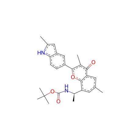 Cc1cc([C@@H](C)NC(=O)OC(C)(C)C)c2oc(-c3ccc4[nH]c(C)cc4c3)c(C)c(=O)c2c1